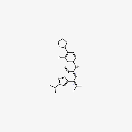 C=N/C(=N\C(=C(/C)F)c1cnn(C(C)C)c1)Nc1ccc(N2CCCC2)c(F)c1